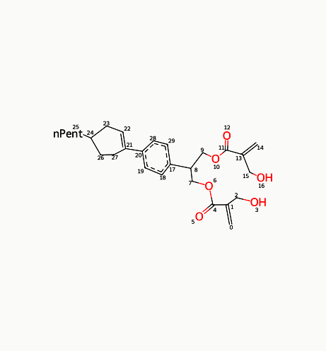 C=C(CO)C(=O)OCC(COC(=O)C(=C)CO)c1ccc(C2=CCC(CCCCC)CC2)cc1